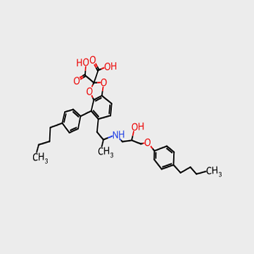 CCCCc1ccc(OCC(O)CNC(C)Cc2ccc3c(c2-c2ccc(CCCC)cc2)OC(C(=O)O)(C(=O)O)O3)cc1